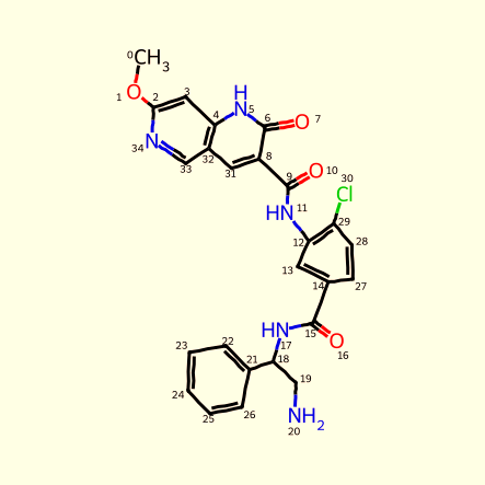 COc1cc2[nH]c(=O)c(C(=O)Nc3cc(C(=O)NC(CN)c4ccccc4)ccc3Cl)cc2cn1